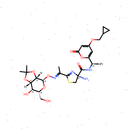 CCC[C@@H](NC(=O)[C@]1(N)CSC(/C(C)=N/O[C@H]2O[C@H](CO)[C@@H](O)[C@@H]3OC(C)(C)O[C@H]23)=N1)c1cc(OCC2CC2)cc(=O)o1